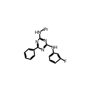 CC(C)Nc1nc(Nc2cccc(F)c2)nc(-c2ccccc2)n1